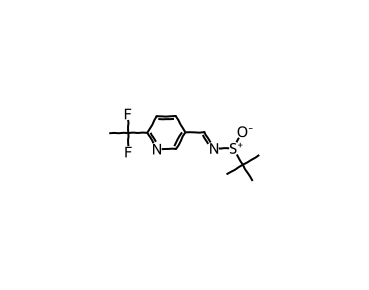 CC(F)(F)c1ccc(C=N[S+]([O-])C(C)(C)C)cn1